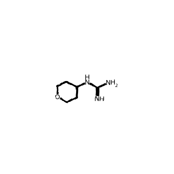 N=C(N)NC1CCOCC1